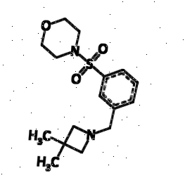 CC1(C)CN(Cc2cccc(S(=O)(=O)N3CCOCC3)c2)C1